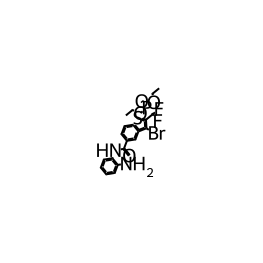 CCOP(=O)(OCC)C(F)(F)c1sc2ccc(C(=O)Nc3ccccc3N)cc2c1Br